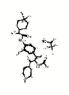 CCC(=O)NC(C(=O)N1CCN(C)CC1)C(C)c1ccc(NC(=O)C(N)C2CCC(F)(F)CC2)c(F)c1.O=C(O)C(F)(F)F